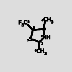 CC1NC(C)C(C(F)(F)F)S1